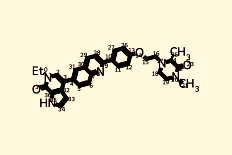 CCn1cc(-c2ccc3nc(-c4ccc(OCCN5CCN(C)C(=O)[C@@H]5C)cc4)ccc3c2)c2cc[nH]c2c1=O